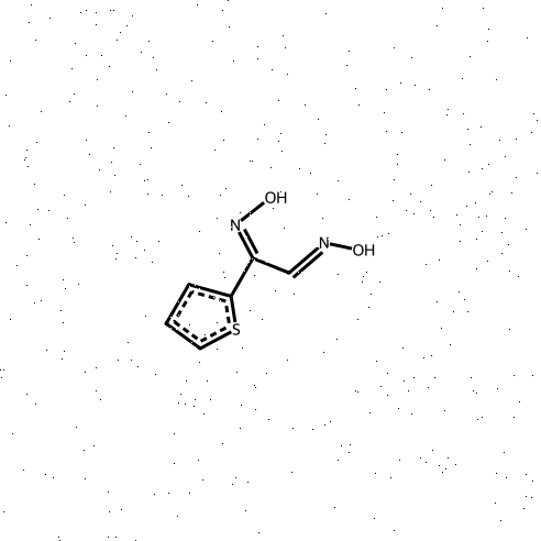 ON=CC(=NO)c1cccs1